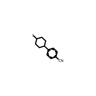 N#Cc1ccc(C2CCC(I)CC2)cc1